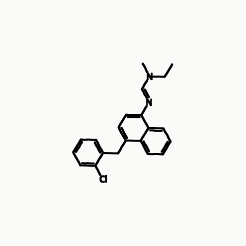 CCN(C)C=Nc1ccc(Cc2ccccc2Cl)c2ccccc12